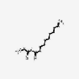 C=CCCCCCCCCC(=O)OC(=O)CN